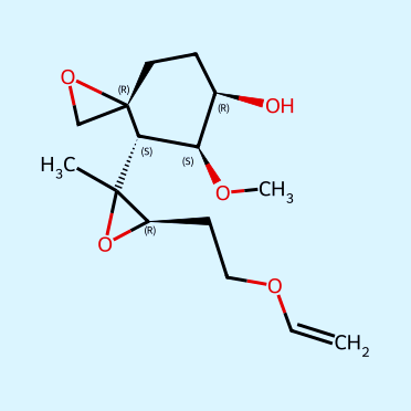 C=COCC[C@H]1OC1(C)[C@H]1[C@H](OC)[C@H](O)CC[C@]12CO2